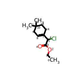 CCOC(=O)C(Cl)C1=CCC(C)(C)CC1